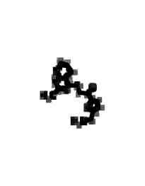 Cc1nc(SCC(=O)c2ccc(CN)s2)c2cccnc2n1